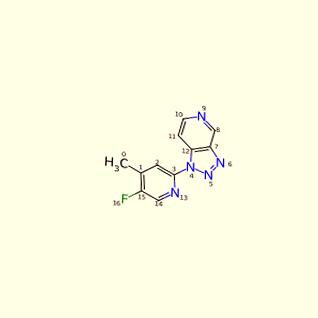 Cc1cc(-n2nnc3cnccc32)ncc1F